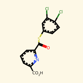 O=C(O)c1cccc(C(=O)Sc2ccc(Cl)c(Cl)c2)n1